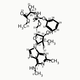 CNc1nc(C)nc2c1ncn2[C@@H]1O[C@H](COP(=S)(N[C@H](C)C(=O)OC)Oc2ccccc2)[C@@H](O)[C@@]1(C)F